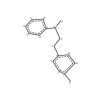 Cc1ccc(CCN(C)c2ccccc2)cc1